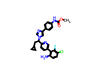 COC(=O)Nc1ccc(-c2cn(C(CC3CC3)c3ccc(-c4c(N)ccc(Cl)c4F)cn3)cn2)cc1